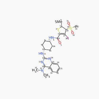 CSC1SC(C(=O)N[C@H]2CC[C@@H](Nc3nc(N(C)C)c4ccccc4n3)CC2)=C(I)C1S(=O)(=O)C(C)C